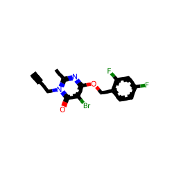 C#CCn1c(C)nc(OCc2ccc(F)cc2F)c(Br)c1=O